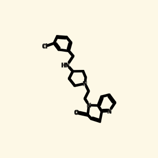 O=c1ccc2ncccc2n1CCN1CCC(NCc2cccc(Cl)c2)CC1